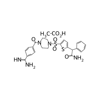 CC(=O)O.N=C(N)c1ccc(C(=O)N2CCN(S(=O)(=O)c3ccc(C(C(N)=O)c4ccccc4)s3)CC2)cc1